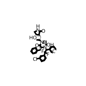 O=C1NCC[C@H]1C[C@@H](CO)NC(=O)[C@H](Cc1ccccc1)N(C(=O)O)[C@H](c1ccccc1)C(F)(F)c1cccc(Cl)c1